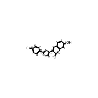 O=c1oc2cc(O)ccc2cc1-c1csc(-c2ccc(Cl)cc2)n1